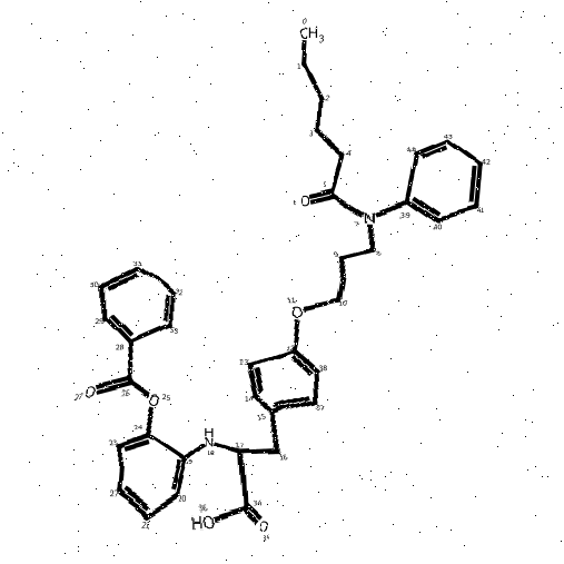 CCCCCC(=O)N(CCCOc1ccc(CC(Nc2ccccc2OC(=O)c2ccccc2)C(=O)O)cc1)c1ccccc1